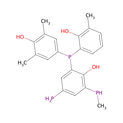 CPc1cc(P)cc(P(c2cc(C)c(O)c(C)c2)c2cccc(C)c2O)c1O